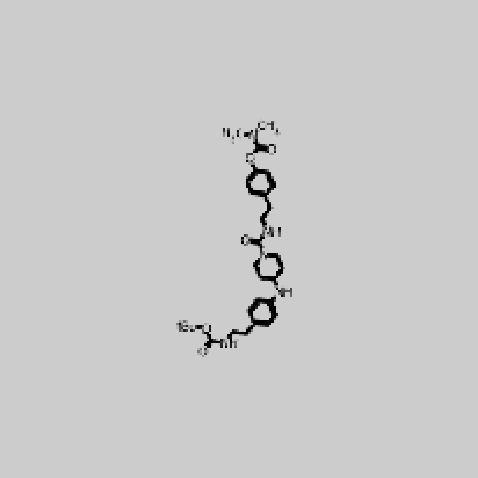 CN(C)C(=O)Oc1ccc(CCNC(=O)N2CCC(Nc3ccc(CCNC(=O)OC(C)(C)C)cc3)CC2)cc1